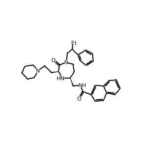 CCC(CN1CC[C@@H](CNC(=O)c2ccc3ccccc3c2)N[C@@H](CCN2CCCCC2)C1=O)c1ccccc1